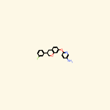 Nc1ccc(Oc2ccc3c(c2)OCC(c2cccc(F)c2)C3)nc1